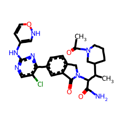 CC(=O)N1CCCC(C(C)C(C(N)=O)N2Cc3ccc(-c4nc(NC5=CNOC=C5)ncc4Cl)cc3C2=O)C1